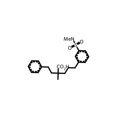 CNS(=O)(=O)c1cccc(CCCC(C)(CCc2ccccc2)C(=O)O)c1